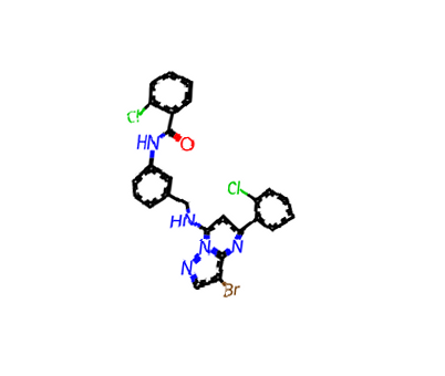 O=C(Nc1cccc(CNc2cc(-c3ccccc3Cl)nc3c(Br)cnn23)c1)c1ccccc1Cl